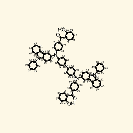 O=C(c1ccc(N(c2ccc(-c3ccc(N(c4ccc(C(=O)c5ccccc5O)cc4)c4ccc5c(c4)c4ccccc4n5-c4ccccc4)cc3)cc2)c2ccc3c(c2)c2ccccc2n3-c2ccccc2)cc1)c1ccccc1O